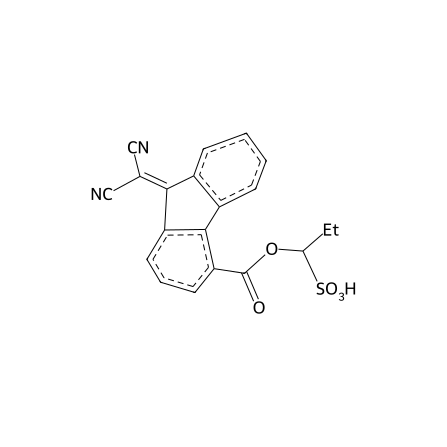 CCC(OC(=O)c1cccc2c1-c1ccccc1C2=C(C#N)C#N)S(=O)(=O)O